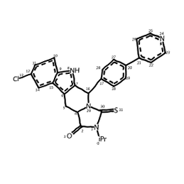 CC(C)N1C(=O)C2Cc3c([nH]c4ccc(Cl)cc34)C(c3ccc(-c4ccncc4)cc3)N2C1=S